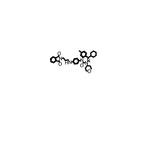 Cc1ccc2c(c1)N(c1ccc(NCCCN3C(=O)c4ccccc4C3=O)cc1)C(=O)N(C1CCOCC1)N=C2C1CCCCC1